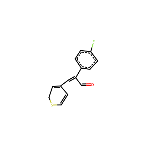 O=CC(=CC1=CCSC=C1)c1ccc(F)cc1